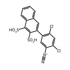 N#[N+]c1cc(-c2cc3ccccc3c(S(=O)(=O)O)c2S(=O)(=O)O)c(Cl)cc1Cl